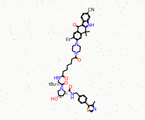 CCc1cc2c(cc1N1CCN(C(=O)CCCCCC(=O)N[C@H](C(=O)N3C[C@H](O)C[C@H]3C(=O)NCc3ccc(-c4scnc4C)cc3)C(C)(C)C)CC1)C(C)(C)c1[nH]c3cc(C#N)ccc3c1C2=O